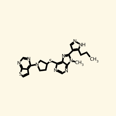 CCCc1[nH]ncc1-c1nc2c(SC3CCN(c4ncnc5sccc45)C3)ncnc2n1C